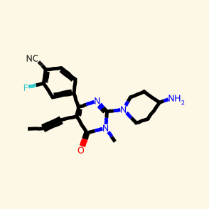 CC#Cc1c(-c2ccc(C#N)c(F)c2)nc(N2CCC(N)CC2)n(C)c1=O